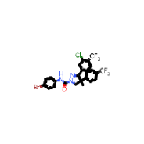 CC1(c2ccc(C(F)(F)F)cc2)CN(C(=O)Nc2ccc(Br)cc2)N=C1c1ccc(C(F)(F)F)c(Cl)c1